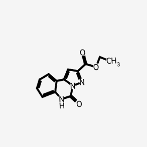 CCOC(=O)c1cc2c3ccccc3[nH]c(=O)n2n1